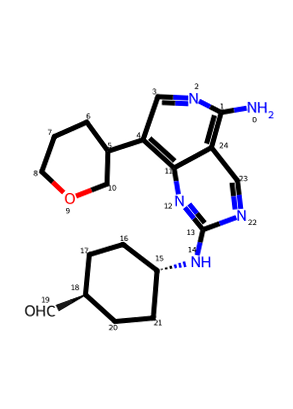 Nc1ncc(C2CCCOC2)c2nc(N[C@H]3CC[C@H](C=O)CC3)ncc12